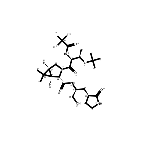 C[C@@H](OC(C)(C)C)[C@H](NC(=O)C(F)(F)F)C(=O)N1C[C@H]2[C@@H]([C@H]1C(=O)N[C@H](CO)C[C@@H]1CCNC1=O)C2(C)C